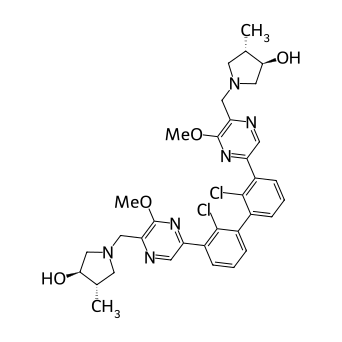 COc1nc(-c2cccc(-c3cccc(-c4cnc(CN5C[C@H](C)[C@@H](O)C5)c(OC)n4)c3Cl)c2Cl)cnc1CN1C[C@H](C)[C@@H](O)C1